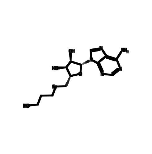 Nc1ncnc2c1ncn2[C@@H]1O[C@H](C[Se]CCCO)[C@@H](O)[C@H]1O